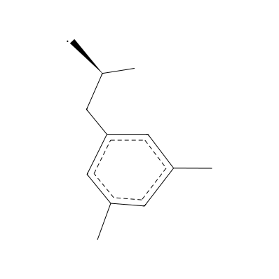 [CH2][C@@H](C)Cc1cc(C)cc(C)c1